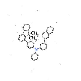 CC1(C)c2ccccc2-c2cccc(-c3ccc(N(c4ccccc4)c4cccc(-c5ccc6ccccc6c5)c4)cc3)c21